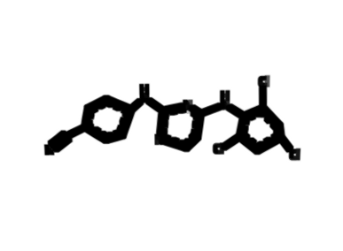 N#Cc1ccc(Nc2nccc(Nc3c(Cl)cc(Cl)cc3Cl)n2)cc1